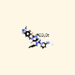 CC#CCn1c(N2CCCC(N)C2)nc2c1c(=O)n(Cc1ccc3c(c1)nnn3C)c(=O)n2CC(=O)OCC